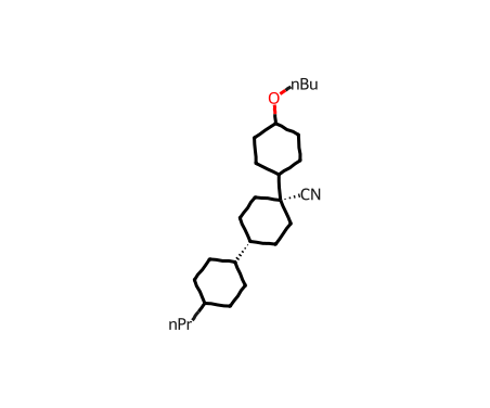 CCCCOC1CCC([C@]2(C#N)CC[C@@H](C3CCC(CCC)CC3)CC2)CC1